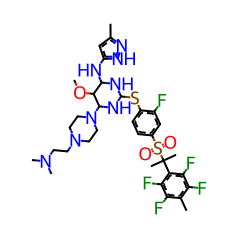 COC1C(Nc2cc(C)n[nH]2)NC(Sc2ccc(S(=O)(=O)C(C)(C)c3c(F)c(F)c(C)c(F)c3F)cc2F)NC1N1CCN(CCN(C)C)CC1